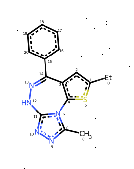 CCc1cc2c(s1)-n1c(C)nnc1NN=C2c1ccccc1